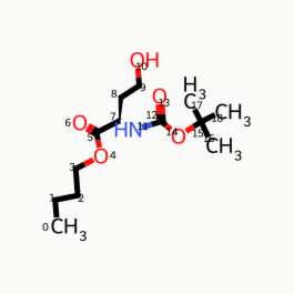 CCCCOC(=O)[C@@H](CCO)NC(=O)OC(C)(C)C